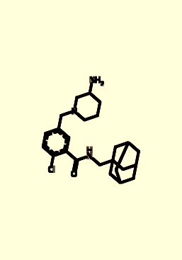 NC1CCCN(Cc2ccc(Cl)c(C(=O)NCC34CC5CC(CC(C5)C3)C4)c2)C1